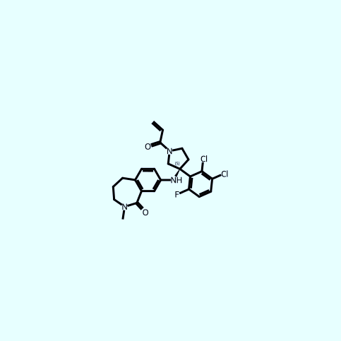 C=CC(=O)N1CC[C@](Nc2ccc3c(c2)C(=O)N(C)CCC3)(c2c(F)ccc(Cl)c2Cl)C1